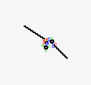 CCCCCCCCCCCCCCCCCCS(=O)(=O)C1C(=O)N(c2c(Cl)cc(Cl)cc2Cl)N=C1Nc1cc(NC(=O)CCCCCCCCCCCCC)ccc1Cl